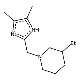 CCC1CCCN(Cc2nc(C)c(C)[nH]2)C1